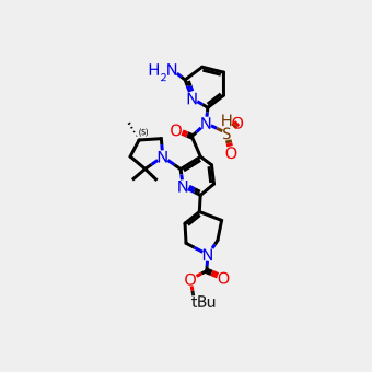 C[C@@H]1CN(c2nc(C3=CCN(C(=O)OC(C)(C)C)CC3)ccc2C(=O)N(c2cccc(N)n2)[SH](=O)=O)C(C)(C)C1